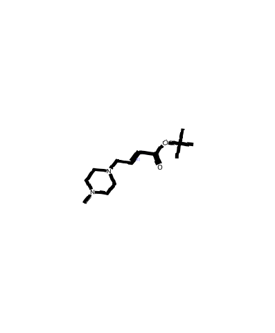 CN1CCN(C/C=C/C(=O)OC(C)(C)C)CC1